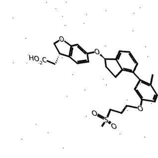 Cc1ccc(OCCCS(C)(=O)=O)cc1-c1cccc2c1CC[C@H]2Oc1ccc2c(c1)OC[C@H]2CC(=O)O